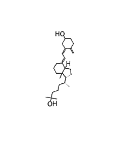 C=C1CC[C@H](O)C/C1=C/C=C1\CCCC2(C)[C@@H]([C@H](C)CCCC(C)(C)O)CC[C@@H]12